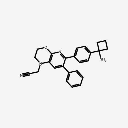 N#CCN1CCOc2nc(-c3ccc(C4(N)CCC4)cc3)c(-c3ccccc3)cc21